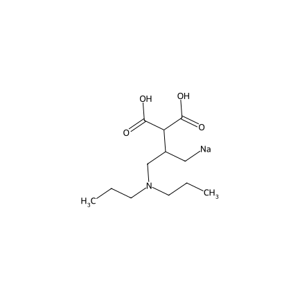 CCCN(CCC)CC([CH2][Na])C(C(=O)O)C(=O)O